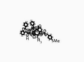 CSc1ccc(COC(=O)O[C@H]2CC3OC[C@@]3(OC(C)=O)[C@H]3[C@H](OC(=O)c4ccccc4)[C@]4(O)CC(OC(=O)[C@H](O)C(NC(=O)c5ccccc5)c5ccccc5)C(C)=C([C@@H](C)C(=O)[C@]23C)C4(C)C)cc1